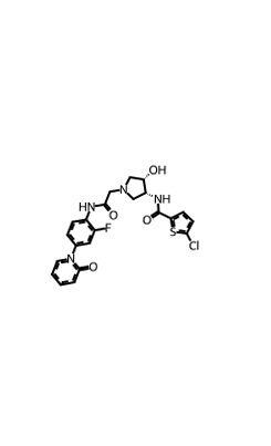 O=C(CN1C[C@H](O)[C@H](NC(=O)c2ccc(Cl)s2)C1)Nc1ccc(-n2ccccc2=O)cc1F